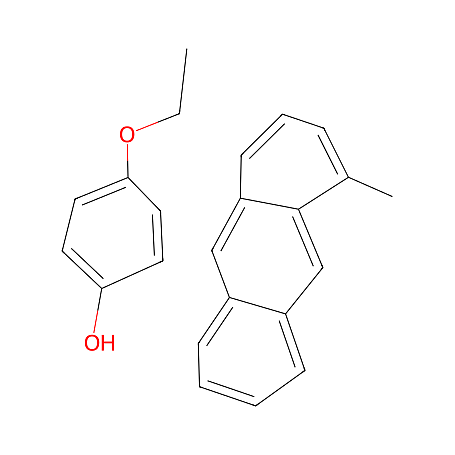 CCOc1ccc(O)cc1.Cc1cccc2cc3ccccc3cc12